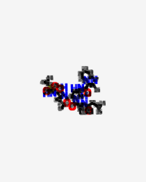 C=CC1CC1(NC(=O)[C@@H]1C[C@@H](NC(=O)c2c(C)nc3ccccn23)CN1C(=O)[C@@H](NC(=O)CC1CC1)C(C)(C)C)C(=O)NS(=O)(=O)C1CC1